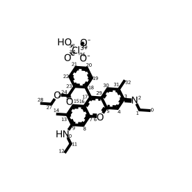 CCN=c1cc2oc3cc(NCC)c(C)cc3c(-c3ccccc3C(=O)OCC)c-2cc1C.[O-][Cl+3]([O-])([O-])O